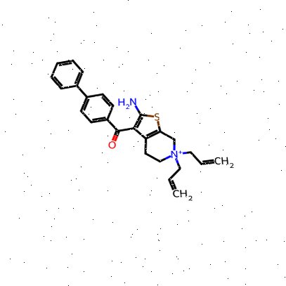 C=CC[N+]1(CC=C)CCc2c(sc(N)c2C(=O)c2ccc(-c3ccccc3)cc2)C1